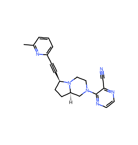 Cc1cccc(C#C[C@@H]2CC[C@@H]3CN(c4nccnc4C#N)CCN32)n1